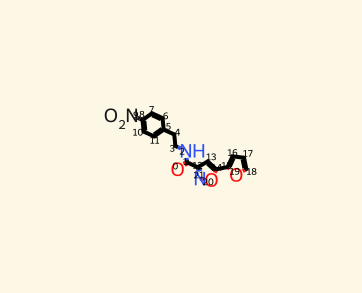 O=C(NCCc1ccc([N+](=O)[O-])cc1)c1cc(-c2ccco2)on1